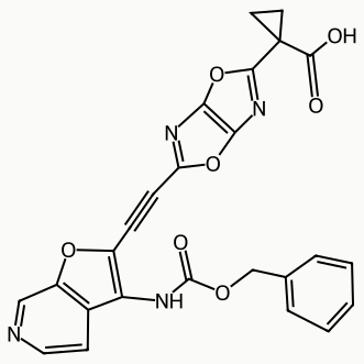 O=C(Nc1c(C#Cc2nc3oc(C4(C(=O)O)CC4)nc3o2)oc2cnccc12)OCc1ccccc1